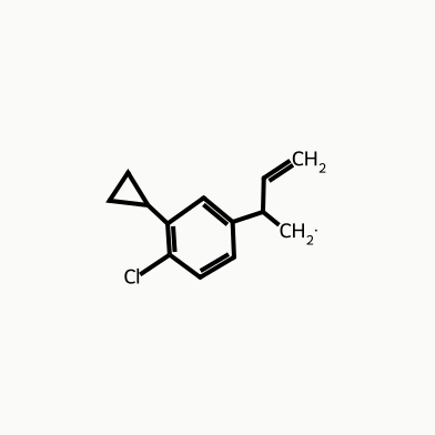 [CH2]C(C=C)c1ccc(Cl)c(C2CC2)c1